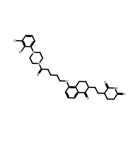 O=C1CCC(CCC2CCc3c(OCCCCC(=O)N4CCN(c5cccc(Cl)c5Cl)CC4)cccc3C2=O)C(=O)N1